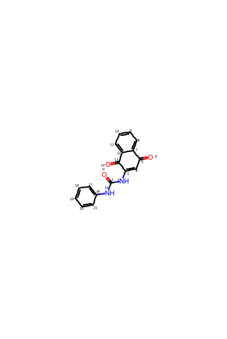 O=C(NC1=CC(=O)c2ccccc2C1=O)Nc1ccccc1